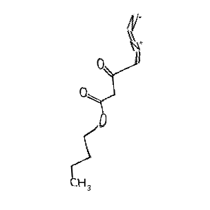 CCCCOC(=O)CC(=O)C=[N+]=[N-]